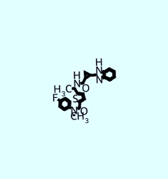 CC(NC(=O)C1CC1c1nc2ccccc2[nH]1)c1ccc(C(=O)N(C)c2ccc(F)cc2)s1